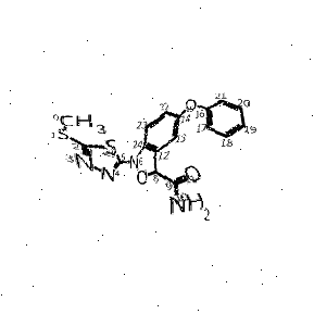 CSc1nnc(N2OC(C(N)=O)c3cc(Oc4ccccc4)ccc32)s1